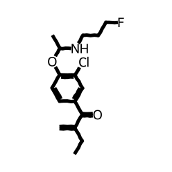 C=C(CC)C(=O)c1ccc(OC(C)NCCCF)c(Cl)c1